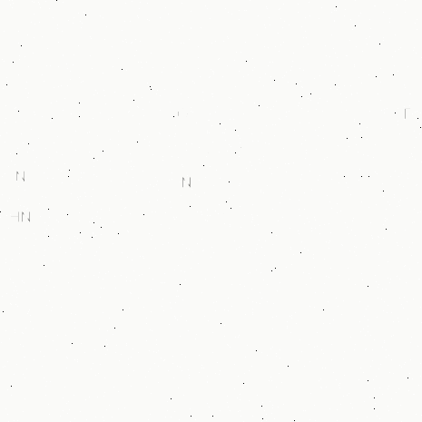 CC1(c2ccc(F)cc2)CC(c2ccccc2)N(c2ccc3[nH]ncc3c2)C1=O